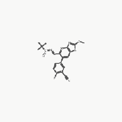 CSc1nc2nc(C=N[S@@+]([O-])C(C)(C)C)c(-c3ccc(F)c(C#N)c3)cc2s1